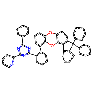 c1ccc(-c2nc(-c3ccccn3)nc(-c3ccccc3-c3cccc4c3Oc3c(ccc5c3-c3ccccc3C5(c3ccccc3)c3ccccc3)O4)n2)cc1